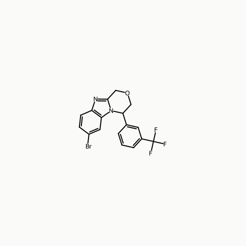 FC(F)(F)c1cccc(C2COCc3nc4ccc(Br)cc4n32)c1